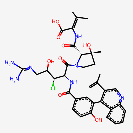 C=C(C)c1cnc2ccccc2c1-c1cc(C(=O)N[C@@H](C(=O)N2CC[C@@](C)(O)[C@H]2C(=O)NC(C(=O)O)=C(C)C)[C@@H](Cl)[C@H](O)CN=C(N)N)ccc1O